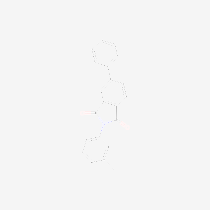 Cc1cccc(N2C(=O)c3ccc(-c4ccccc4)cc3C2=O)c1